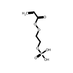 C=CC(=O)OOCCOP(=O)(O)O